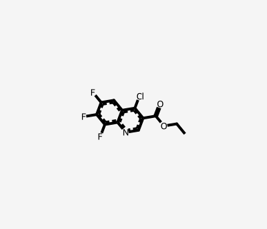 CCOC(=O)c1cnc2c(F)c(F)c(F)cc2c1Cl